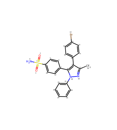 NS(=O)(=O)c1ccc(-c2c(-c3ccc(Br)cc3)c(C(F)(F)F)nn2-c2ccccc2)cc1